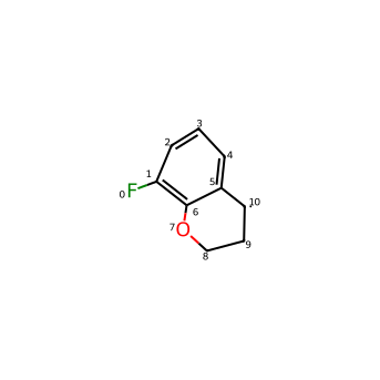 Fc1cccc2c1OCC[CH]2